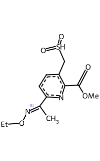 CCO/N=C(\C)c1ccc(C[SH](=O)=O)c(C(=O)OC)n1